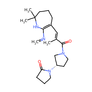 C=NC1=C(/C=C(\C)C(=O)N2CC[C@H](N3CCCC3=O)C2)CCCC(C)(C)N1